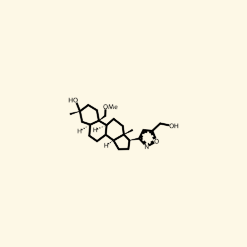 COC[C@]12CC[C@@](C)(O)C[C@@H]1CCC1[C@@H]3CC[C@H](c4cc(CO)on4)[C@@]3(C)CC[C@@H]12